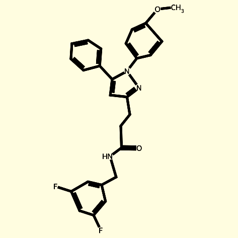 COc1ccc(-n2nc(CCC(=O)NCc3cc(F)cc(F)c3)cc2-c2ccccc2)cc1